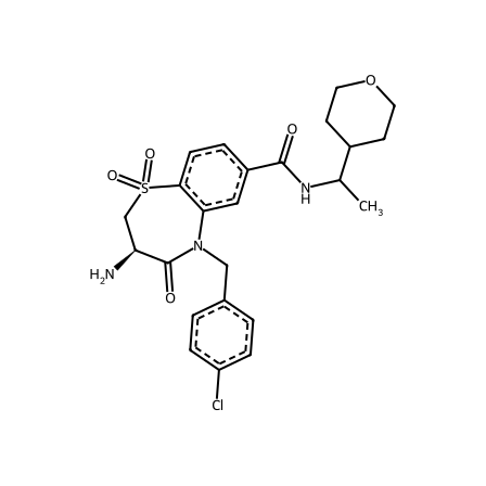 CC(NC(=O)c1ccc2c(c1)N(Cc1ccc(Cl)cc1)C(=O)[C@@H](N)CS2(=O)=O)C1CCOCC1